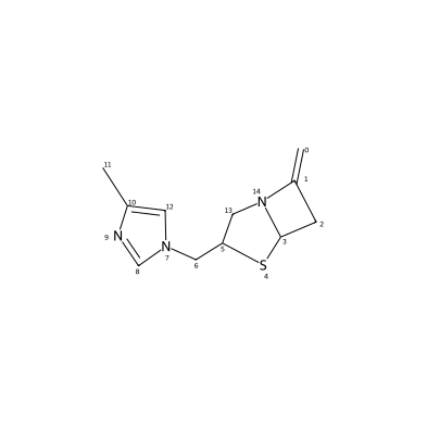 C=C1CC2SC(Cn3cnc(C)c3)CN12